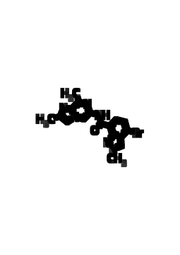 Cc1cn2cc(NC(=O)c3ccc(Br)c4cn(C)nc34)nc(C)c2n1